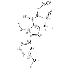 C#CCn1c(=O)c2c(nc(-c3cccc(OC)c3)n2CC)n(C)c1=O